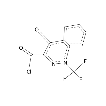 O=C(Cl)c1nn(C(F)(F)F)c2ccccc2c1=O